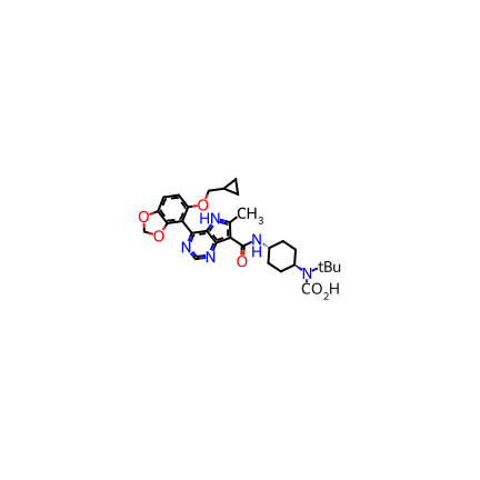 Cc1[nH]c2c(-c3c(OCC4CC4)ccc4c3OCO4)ncnc2c1C(=O)N[C@H]1CC[C@H](N(C(=O)O)C(C)(C)C)CC1